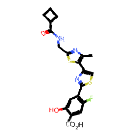 Cc1nc(CNC(=O)C2CCC2)sc1-c1csc(-c2cc(O)c(C(=O)O)cc2F)n1